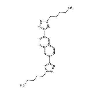 CCCCCc1nnc(-c2ccc3cc(-c4nnc(CCCCC)s4)ccc3c2)s1